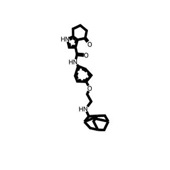 O=C(Nc1ccc(OCCNC2C3CC4CC(C3)CC2C4)cc1)c1c[nH]c2c1C(=O)CCC2